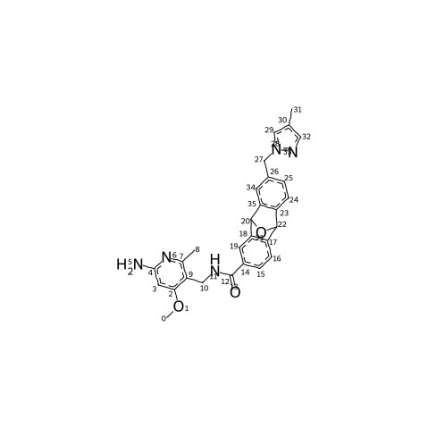 COc1cc(N)nc(C)c1CNC(=O)c1ccc2c(c1)C1OC2c2ccc(Cn3cc(C)cn3)cc21